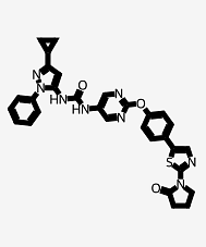 O=C(Nc1cnc(Oc2ccc(-c3cnc(N4CCCC4=O)s3)cc2)nc1)Nc1cc(C2CC2)nn1-c1ccccc1